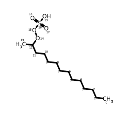 CCCCCCCCCCCCC(C)OOS(=O)(=O)O